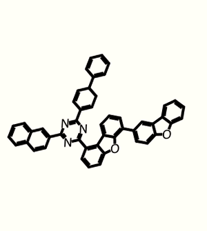 C1=CC(c2ccccc2)CC=C1c1nc(-c2ccc3ccccc3c2)nc(-c2cccc3oc4c(-c5ccc6oc7ccccc7c6c5)cccc4c23)n1